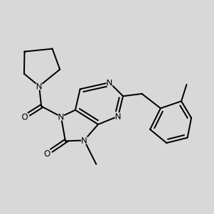 Cc1ccccc1Cc1ncc2c(n1)n(C)c(=O)n2C(=O)N1CCCC1